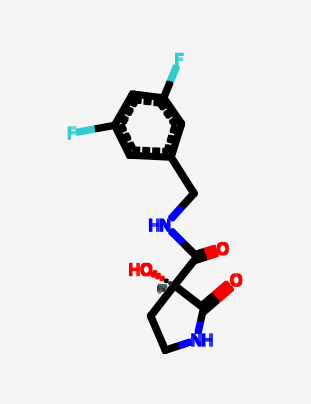 O=C1NCC[C@@]1(O)C(=O)NCc1cc(F)cc(F)c1